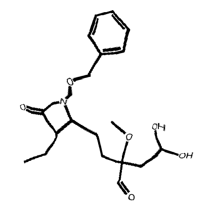 CCC1C(=O)N(OCc2ccccc2)C1CCC(C=O)(CC(O)O)OC